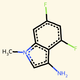 Cn1cc(N)c2c(F)cc(F)cc21